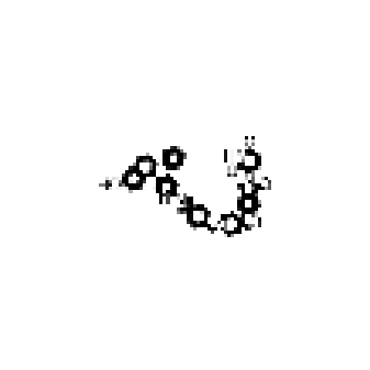 O=C1CC[C@H](N2Cc3cc4c(cc3C2=O)OCC42CCN(CC3CCC4(CC3)CN(c3ccc([C@@H]5c6ccc(O)cc6CC[C@@H]5c5ccccc5)cn3)C4)CC2)C(=O)N1